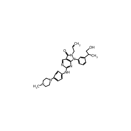 C=CCn1c(=O)c2cnc(Nc3ccc(N4CCN(C)CC4)cc3)nc2n1-c1cccc(C(C)CO)c1